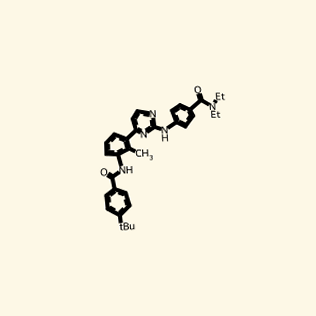 CCN(CC)C(=O)c1ccc(Nc2nccc(-c3cccc(NC(=O)c4ccc(C(C)(C)C)cc4)c3C)n2)cc1